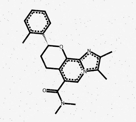 Cc1ccccc1[C@H]1CCc2c(C(=O)N(C)C)cn3c(C)c(C)nc3c2O1